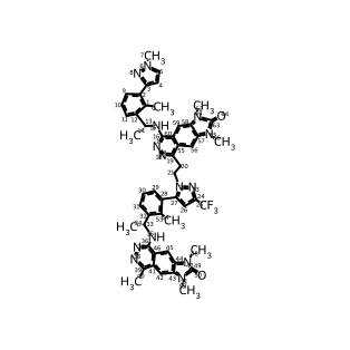 Cc1c(-c2ccn(C)n2)cccc1[C@@H](C)Nc1nnc(CCn2nc(C(F)(F)F)cc2-c2cccc([C@@H](C)Nc3nnc(C)c4cc5c(cc34)n(C)c(=O)n5C)c2C)c2cc3c(cc12)n(C)c(=O)n3C